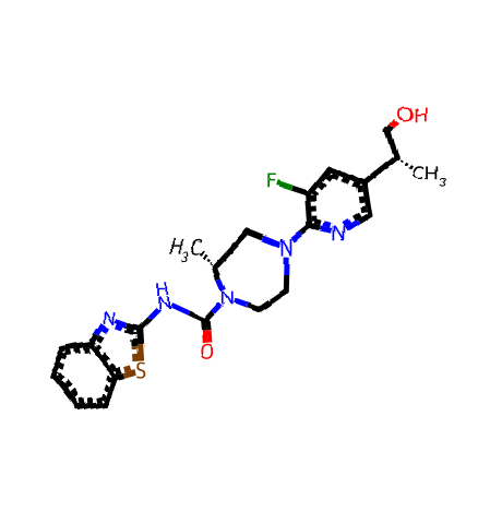 C[C@@H]1CN(c2ncc([C@@H](C)CO)cc2F)CCN1C(=O)Nc1nc2ccccc2s1